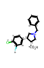 O=C(O)[C@H]1CN(Cc2ccccc2)C[C@H]1c1ccc(Cl)c(F)c1